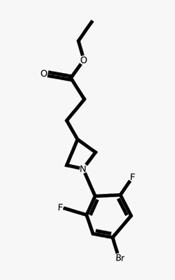 CCOC(=O)CCC1CN(c2c(F)cc(Br)cc2F)C1